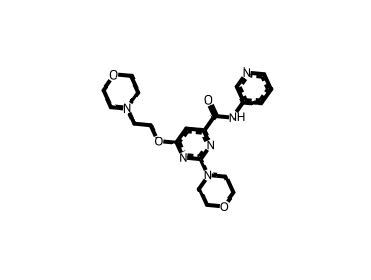 O=C(Nc1cccnc1)c1cc(OCCN2CCOCC2)nc(N2CCOCC2)n1